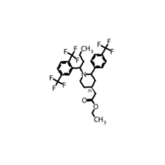 CCCC(c1cc(C(F)(F)F)ccc1C(F)(F)F)N1CC[C@H](CC(=O)OCC)CC1c1ccc(C(F)(F)F)cc1